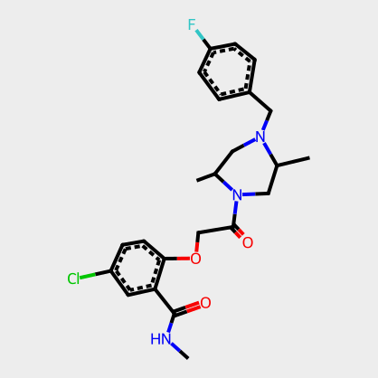 CNC(=O)c1cc(Cl)ccc1OCC(=O)N1CC(C)N(Cc2ccc(F)cc2)CC1C